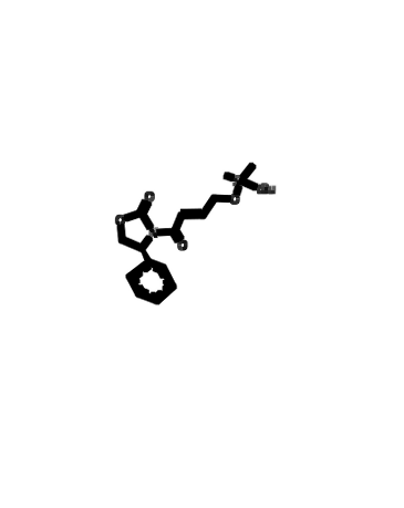 CC(C)(C)[Si](C)(C)OC/C=C/C(=O)N1C(=O)OC[C@@H]1c1ccccc1